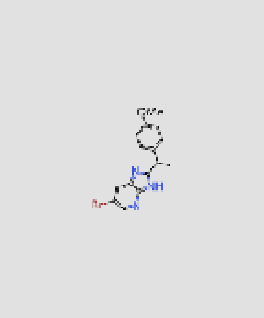 COc1ccc(C(C)c2nc3cc(Br)cnc3[nH]2)cc1